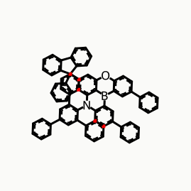 c1ccc(-c2ccc3c(c2)B2c4cc(-c5ccccc5)ccc4N(c4c(-c5ccccc5)cc(-c5ccccc5)cc4-c4ccccc4)c4cc(C5(c6ccccc6)c6ccccc6-c6ccccc65)cc(c42)O3)cc1